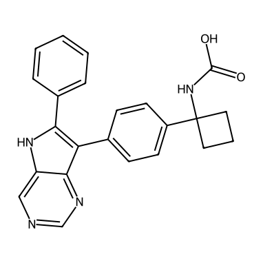 O=C(O)NC1(c2ccc(-c3c(-c4ccccc4)[nH]c4cncnc34)cc2)CCC1